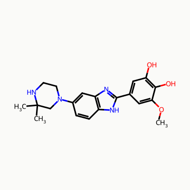 COc1cc(-c2nc3cc(N4CCNC(C)(C)C4)ccc3[nH]2)cc(O)c1O